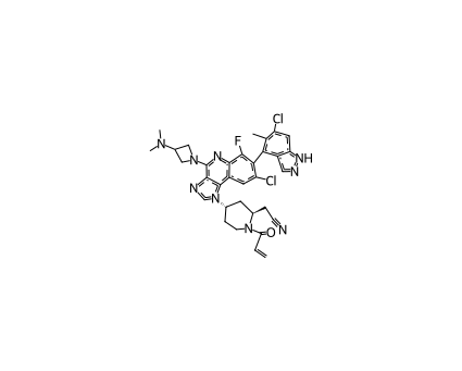 C=CC(=O)N1CC[C@H](n2cnc3c(N4CC(N(C)C)C4)nc4c(F)c(-c5c(C)c(Cl)cc6[nH]ncc56)c(Cl)cc4c32)C[C@H]1CC#N